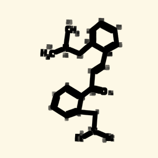 CCN(CC)Cc1ccccc1C(=O)C=Cc1ccccc1CN(C)C